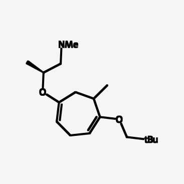 CNC[C@H](C)OC1=CCC=C(OCC(C)(C)C)C(C)C1